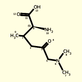 CC(CC(=O)CN(C)C)[C@H](N)C(=O)O